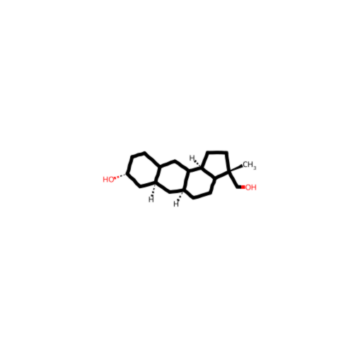 C[C@]1(CO)CC[C@@H]2C3CC4CC[C@@H](O)C[C@@H]4C[C@@H]3CCC21